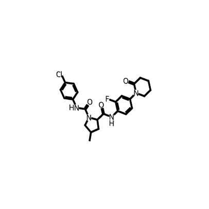 CC1CC(C(=O)Nc2ccc(N3CCCCC3=O)cc2F)N(C(=O)Nc2ccc(Cl)cc2)C1